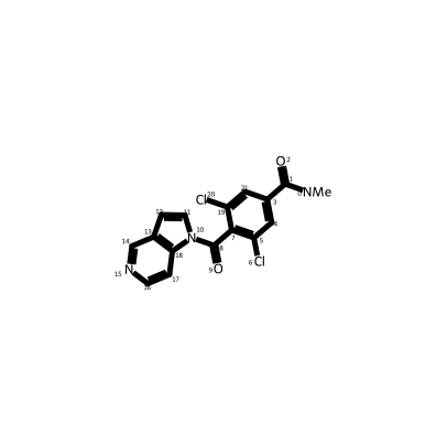 CNC(=O)c1cc(Cl)c(C(=O)n2ccc3cnccc32)c(Cl)c1